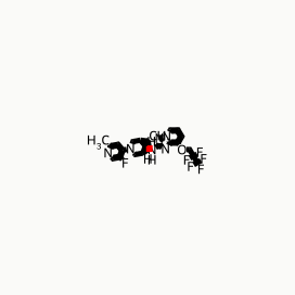 Cc1cc(N2CC3C(C)C[C@@H](C2)[C@@H]3Nc2nc3c(OCC(F)(F)C(F)(F)F)cccn3n2)c(F)cn1